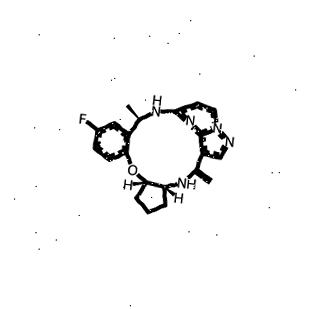 C=C1N[C@@H]2CCC[C@@H]2Oc2ccc(F)cc2[C@@H](C)Nc2ccn3ncc1c3n2